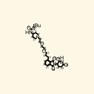 CC(C)(C)OC(=O)NC1CCN(CCOCCOCCCc2cccc3c2C(=O)N(C2CCC(=O)NC2=O)C3=O)CC1